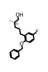 C[C@H](CO)CCCc1cc(F)ccc1OCc1ccccc1